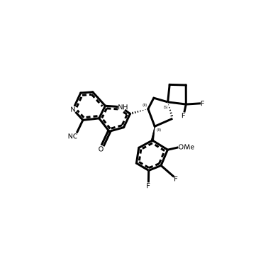 COc1c([C@@H]2C[C@@]3(CCC3(F)F)C[C@H]2c2cc(=O)c3c(C#N)nccc3[nH]2)ccc(F)c1F